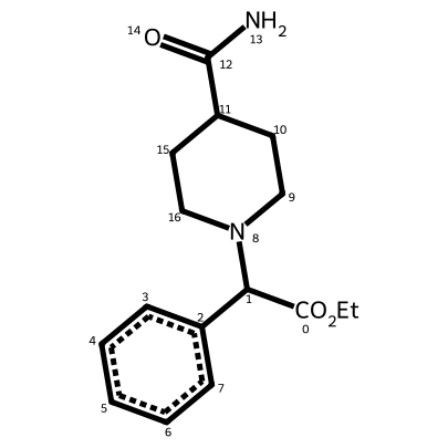 CCOC(=O)C(c1ccccc1)N1CCC(C(N)=O)CC1